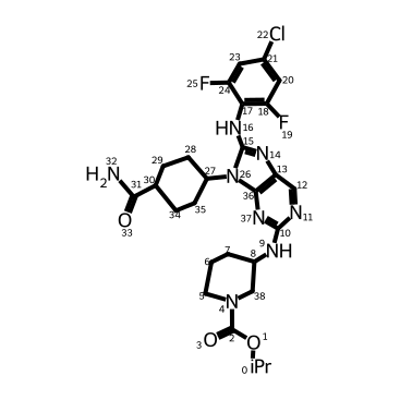 CC(C)OC(=O)N1CCCC(Nc2ncc3nc(Nc4c(F)cc(Cl)cc4F)n(C4CCC(C(N)=O)CC4)c3n2)C1